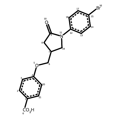 O=C(O)c1ccc(OCC2CC(=O)N(c3ccc(Br)cc3)C2)cc1